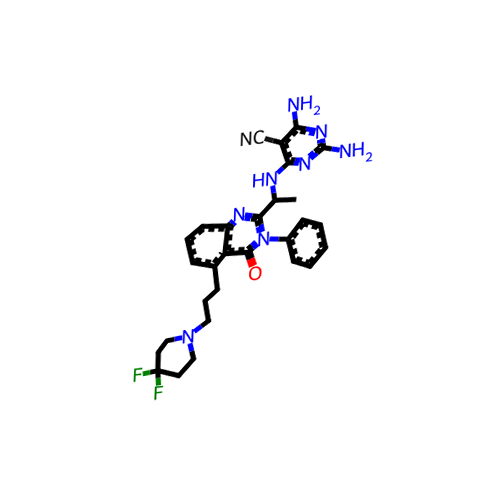 CC(Nc1nc(N)nc(N)c1C#N)c1nc2cccc(CCCN3CCC(F)(F)CC3)c2c(=O)n1-c1ccccc1